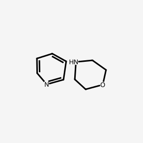 C1COCCN1.c1ccncc1